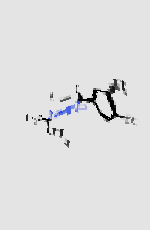 CCc1ccc(/C(C)=N/N=C(C)C)cc1CC